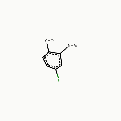 CC(=O)Nc1cc(F)ccc1C=O